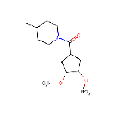 CC1CCN(C(=O)C2C[C@H](O[N+](=O)[O-])[C@H](O[N+](=O)[O-])C2)CC1